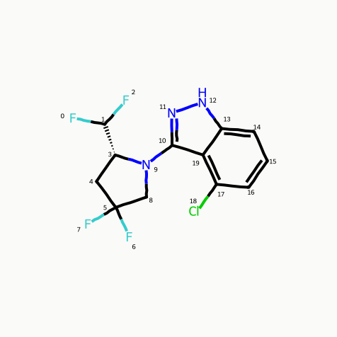 FC(F)[C@H]1CC(F)(F)CN1c1n[nH]c2cccc(Cl)c12